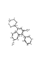 O=c1nc(N2CCOCC2)c2ccc(Cl)cc2n1-c1ccccc1